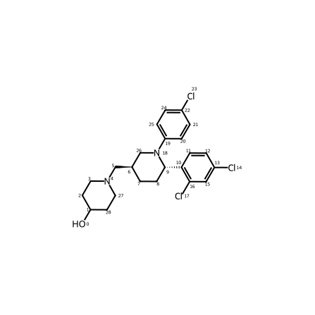 OC1CCN(C[C@@H]2CC[C@@H](c3ccc(Cl)cc3Cl)N(c3ccc(Cl)cc3)C2)CC1